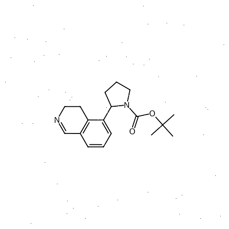 CC(C)(C)OC(=O)N1CCCC1c1cccc2c1CCN=C2